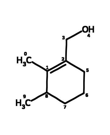 CC1=C(CO)CCCC1C